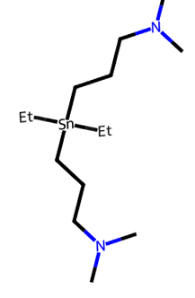 C[CH2][Sn]([CH2]C)([CH2]CCN(C)C)[CH2]CCN(C)C